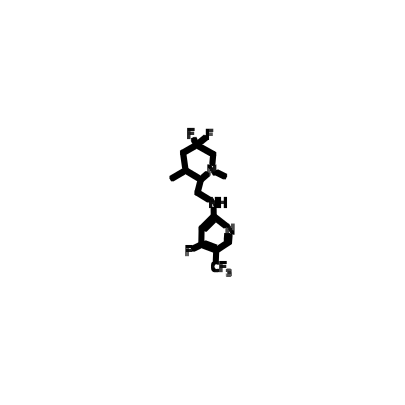 CC1CC(F)(F)CN(C)C1CNc1cc(F)c(C(F)(F)F)cn1